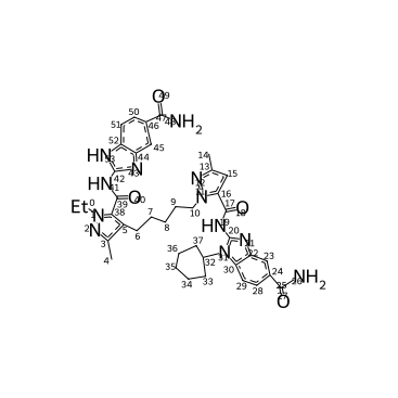 CCn1nc(C)c(CCCCCn2nc(C)cc2C(=O)Nc2nc3cc(C(N)=O)ccc3n2C2CCCCC2)c1C(=O)Nc1nc2cc(C(N)=O)ccc2[nH]1